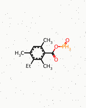 CCc1c(C)cc(C)c(C(=O)O[PH2]=O)c1C